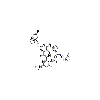 Cc1cc(N)nc(-c2ncc3c(N(C)[C@@H]4CCN(C(=O)/C=C/[C@H]5CCN5C)C4)nc(OC[C@@]45CCCN4C[C@H](F)C5)nc3c2F)c1C(F)(F)F